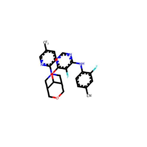 N#Cc1ccc(Nc2ncnc(OC3C4COCC3CN(c3ccc(C(F)(F)F)cn3)C4)c2F)c(F)c1